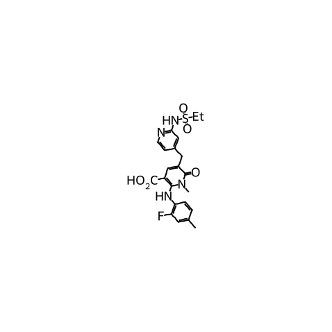 CCS(=O)(=O)Nc1cc(Cc2cc(C(=O)O)c(Nc3ccc(C)cc3F)n(C)c2=O)ccn1